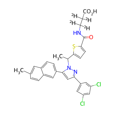 [2H]C([2H])(NC(=O)c1ccc(C(C)n2nc(-c3cc(Cl)cc(Cl)c3)cc2-c2ccc3cc(C)ccc3c2)s1)C([2H])([2H])C(=O)O